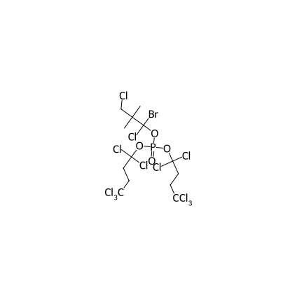 CC(C)(CCl)C(Cl)(Br)OP(=O)(OC(Cl)(Cl)CCC(Cl)(Cl)Cl)OC(Cl)(Cl)CCC(Cl)(Cl)Cl